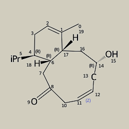 CC1=CC[C@H](C(C)C)[C@H]2CC(=O)C/C=C\C[C@@H](O)C[C@@H]12